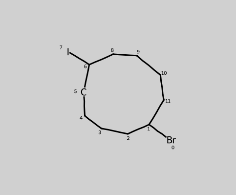 BrC1CCCCC(I)CCCC1